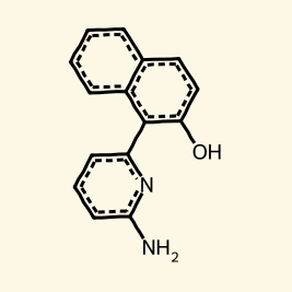 Nc1cccc(-c2c(O)ccc3ccccc23)n1